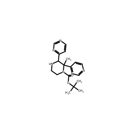 CC(C)(C)OC(=O)N1CCNC(c2ccncn2)C1(C)c1ccncn1